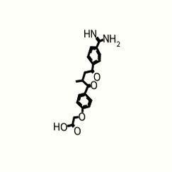 CC(CC(=O)c1ccc(C(=N)N)cc1)C(=O)c1ccc(OCC(=O)O)cc1